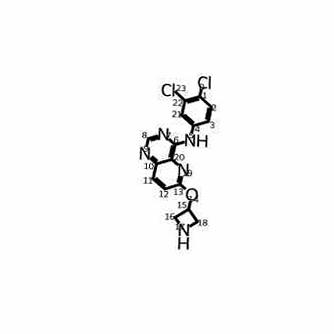 Clc1ccc(Nc2ncnc3ccc(OC4CNC4)nc23)cc1Cl